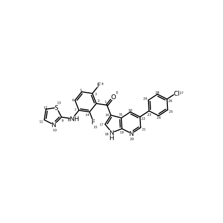 O=C(c1c(F)ccc(Nc2nccs2)c1F)c1c[nH]c2ncc(-c3ccc(Cl)cc3)cc12